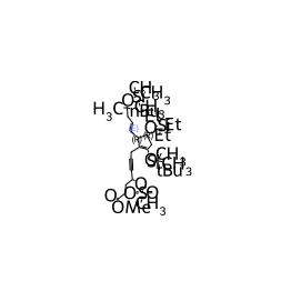 CCCCC(C)(C/C=C/[C@@H]1C(CC#CC(CCC(=O)OC)OS(C)(=O)=O)=C(O[Si](C)(C)C(C)(C)C)C[C@H]1O[Si](CC)(CC)CC)O[Si](C)(C)C